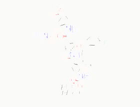 COC(=O)c1ccc(NC(=O)c2ccc(NC(=O)c3ccc(NC(=O)OC(C)(C)C)c(OC(C)C)c3)c(OCc3ccc(F)cc3)c2)c(OCC(N)=O)c1